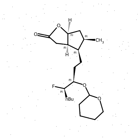 CCCC[C@@H](F)[C@@H](CC[C@H]1[C@H]2CC(=O)O[C@H]2C[C@H]1C)OC1CCCCO1